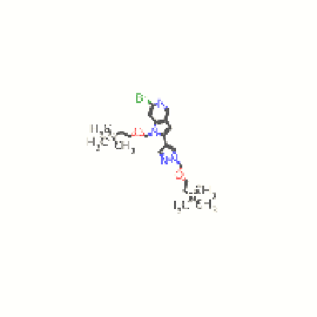 C[Si](C)(C)CCOCn1cc(-c2cc3cnc(Br)cc3n2COCC[Si](C)(C)C)cn1